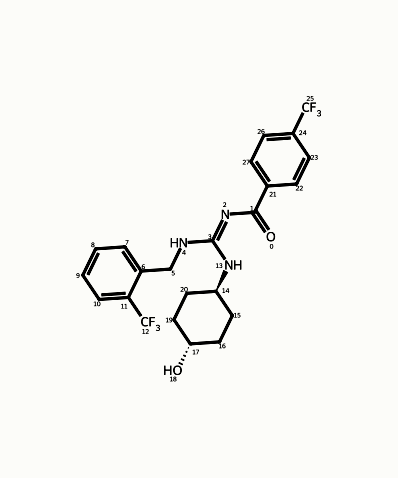 O=C(/N=C(/NCc1ccccc1C(F)(F)F)N[C@H]1CC[C@H](O)CC1)c1ccc(C(F)(F)F)cc1